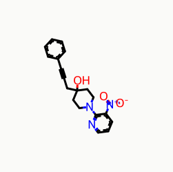 O=[N+]([O-])c1cccnc1N1CCC(O)(CC#Cc2ccccc2)CC1